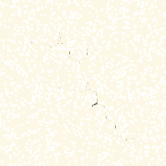 CCCCCCCCCCCCCNC(=O)CN(CCN(CCN(CC(=O)O)CC(=O)O)CC(=O)O)CC(=O)O